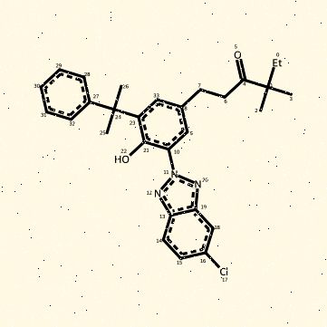 CCC(C)(C)C(=O)CCc1cc(-n2nc3ccc(Cl)cc3n2)c(O)c(C(C)(C)c2ccccc2)c1